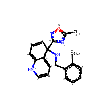 COc1ccccc1CNC1(c2noc(C)n2)C=CC=C2NC=CC=C21